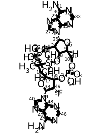 CC(C)(C)[Si](C)(C)OC1[C@H]2COP(=O)(O)OC3[C@@H](COP(=O)(O)O[C@@H]1[C@H](n1cnc4c(N)ncnc41)O2)O[C@@H](n1cnc2c(N)ncnc21)[C@H]3F